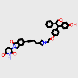 O=C1CCC(N2Cc3cc(C#CCCC4CN(CCOc5ccc(C6c7ccc(O)cc7OC[C@@H]6c6ccccc6)cc5)C4)ccc3C2=O)C(=O)N1